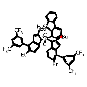 CCc1ccc2c(c1-c1cc(C(F)(F)F)cc(C(F)(F)F)c1)C=C(C(C)CC)[CH]2[Zr]([Cl])([Cl])([c]1cccc2c1[SiH2]c1ccccc1-2)[CH]1C(C(C)CC)=Cc2c1ccc(CC)c2-c1cc(C(F)(F)F)cc(C(F)(F)F)c1